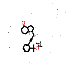 C[C@H](C#Cc1ccccc1C(C)(C)O[Si](C)(C)C)C1CCC2C(=O)CCC[C@@]21C